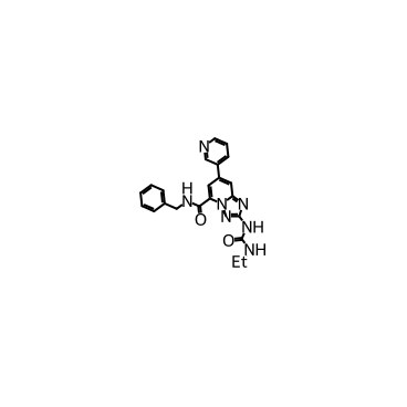 CCNC(=O)Nc1nc2cc(-c3cccnc3)cc(C(=O)NCc3ccccc3)n2n1